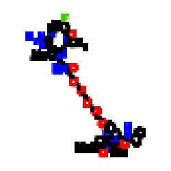 CN[C@@H](C)C(=O)N[C@H](C(=O)N1Cc2cc(OCCOCCOCCOCCOCCC(=O)NCCn3nc4c(c3OC)-c3cnc(N)c(c3)N3CCC[C@@H]3c3cc(F)ccc3C(=O)N(C)C4)ccc2C[C@H]1C(=O)N[C@@H]1CCCc2ccccc21)C(C)(C)C